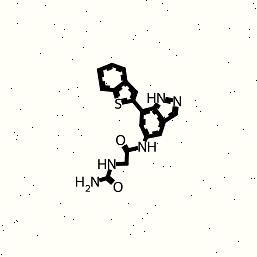 NC(=O)NCC(=O)Nc1cc(-c2cc3ccccc3s2)c2[nH]ncc2c1